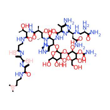 CB(C)CCCNC(=O)C1=CBC(C2=CBC(CCNC(=O)[C@@H](NC(=O)[C@@H](C)[C@H](O)[C@@H](C)NC(=O)[C@@H](NC(=O)c3nc([C@H](CC(N)=O)NC[C@H](N)C(N)=O)nc(N)c3C)[C@@H](OC3OC(CO)C(O)C(O)C3OC3OC(CO)C(O)C(OC(N)=O)C3O)c3c[nH]cn3)[C@@H](C)O)=N2)=N1